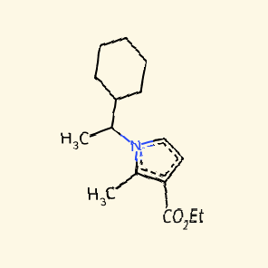 CCOC(=O)c1ccn(C(C)C2CCCCC2)c1C